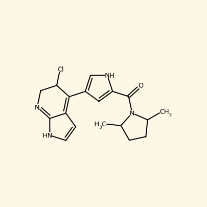 CC1CCC(C)N1C(=O)c1cc(C2=c3cc[nH]c3=NCC2Cl)c[nH]1